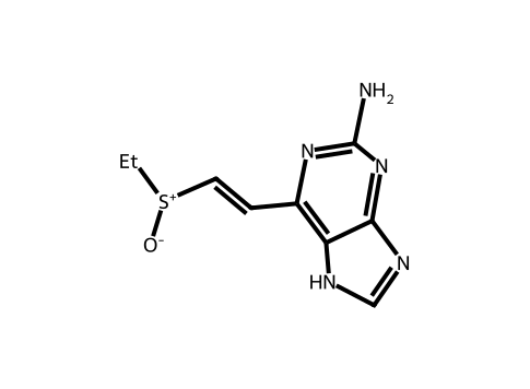 CC[S+]([O-])C=Cc1nc(N)nc2nc[nH]c12